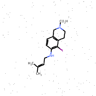 CC(C)=CCNc1ccc2c(c1I)CCN(C(=O)O)C2